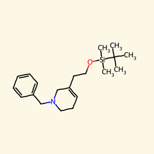 CC(C)(C)[Si](C)(C)OCCC1=CCCN(Cc2ccccc2)C1